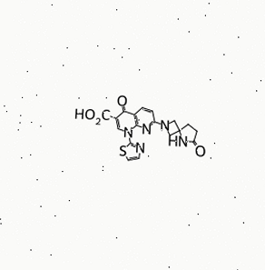 O=C1CCC2(CN(c3ccc4c(=O)c(C(=O)O)cn(-c5nccs5)c4n3)C2)N1